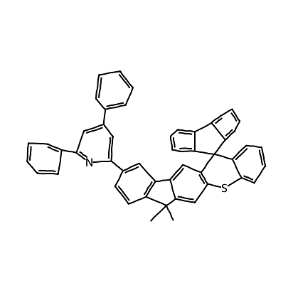 CC1(C)c2ccc(-c3cc(-c4ccccc4)cc(-c4ccccc4)n3)cc2-c2cc3c(cc21)Sc1ccccc1C31c2ccccc2-c2ccccc21